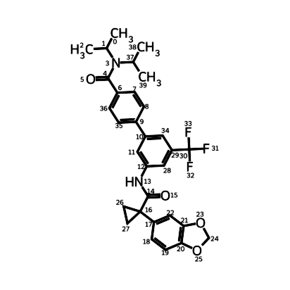 CC(C)N(C(=O)c1ccc(-c2cc(NC(=O)C3(c4ccc5c(c4)OCO5)CC3)cc(C(F)(F)F)c2)cc1)C(C)C